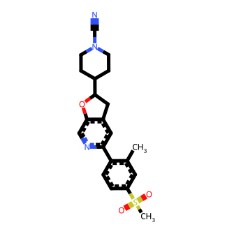 Cc1cc(S(C)(=O)=O)ccc1-c1cc2c(cn1)OC(C1CCN(C#N)CC1)C2